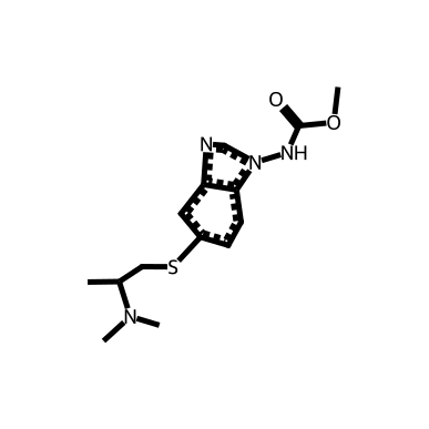 COC(=O)Nn1cnc2cc(SCC(C)N(C)C)ccc21